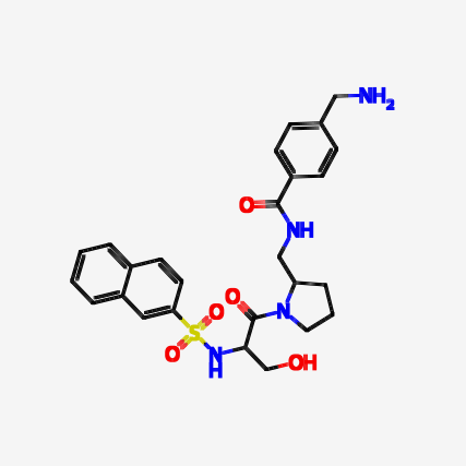 NCc1ccc(C(=O)NCC2CCCN2C(=O)C(CO)NS(=O)(=O)c2ccc3ccccc3c2)cc1